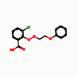 O=C(O)c1cccc(Cl)c1OOCCOc1ccccc1